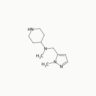 CN(Cc1ccnn1C)C1CCNCC1